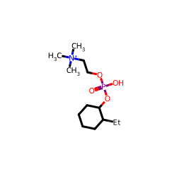 CCC1CCCCC1OP(=O)(O)OCC[N+](C)(C)C